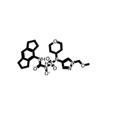 COCn1cc(N(C2CCOCC2)S(=O)(=O)[NH+]([O-])C(=O)Nc2c3c(cc4c2CCC4)CCC3)cn1